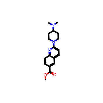 COC(=O)c1ccc2nc(N3CCC(N(C)C)CC3)ccc2c1